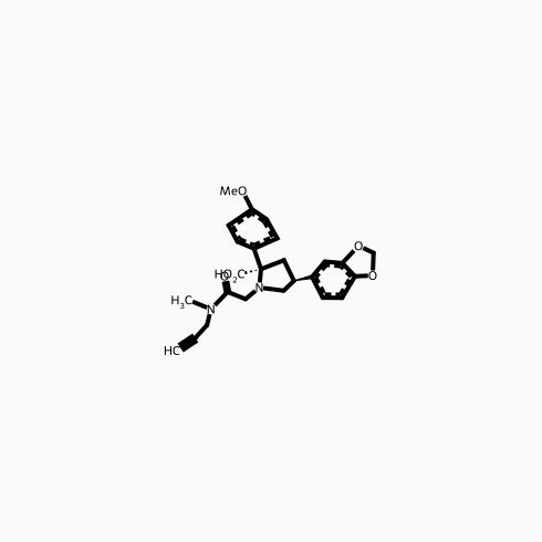 C#CCN(C)C(=O)CN1C[C@H](c2ccc3c(c2)OCO3)C[C@]1(C(=O)O)c1ccc(OC)cc1